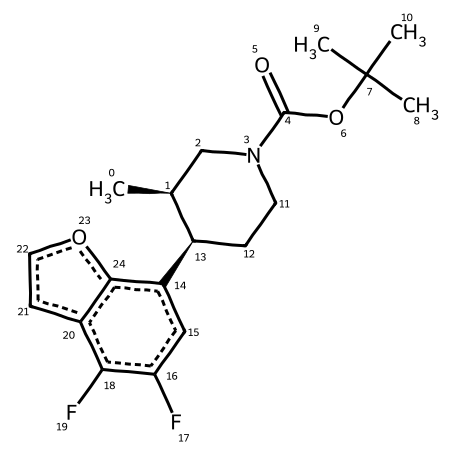 C[C@H]1CN(C(=O)OC(C)(C)C)CC[C@H]1c1cc(F)c(F)c2ccoc12